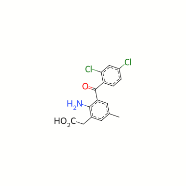 Cc1cc(CC(=O)O)c(N)c(C(=O)c2ccc(Cl)cc2Cl)c1